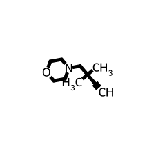 C#CC(C)(C)CN1CCOCC1